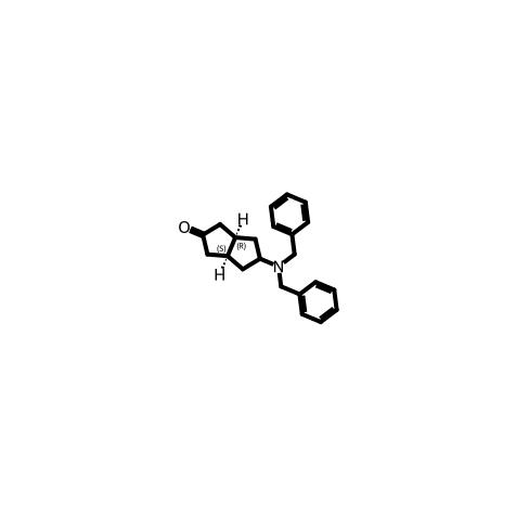 O=C1C[C@@H]2CC(N(Cc3ccccc3)Cc3ccccc3)C[C@@H]2C1